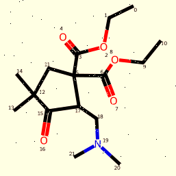 CCOC(=O)C1(C(=O)OCC)CC(C)(C)C(=O)C1CN(C)C